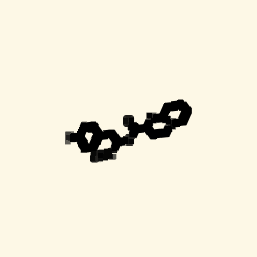 O=CC(Cc1ccc(F)cc1)SC(=O)C1C=CN2C=CC=CC2=N1